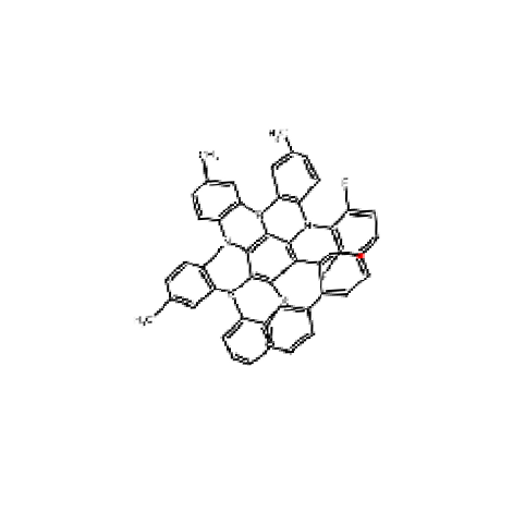 Cc1ccc2c(c1)B1c3ccccc3Sc3c1c1c4c(c3-c3ccccc3-c3ccccc3)N(c3c(F)cccc3F)c3ccc(C)cc3B4c3cc(C)ccc3N21